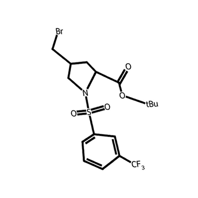 CC(C)(C)OC(=O)C1CC(CBr)CN1S(=O)(=O)c1cccc(C(F)(F)F)c1